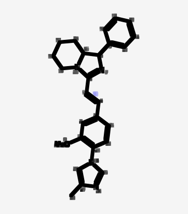 COc1cc(/C=C/C2=NC(c3ccccc3)C3CCCCN23)ccc1-n1cnc(C)c1